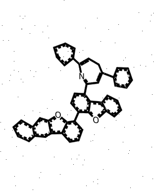 C1=C(c2ccccc2)CC=C(c2ccccc2)N=C1c1ccc(-c2cccc3c2oc2cc4ccccc4cc23)c2oc3ccccc3c12